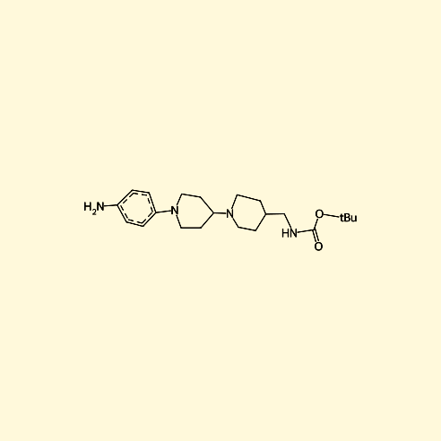 CC(C)(C)OC(=O)NCC1CCN(C2CCN(c3ccc(N)cc3)CC2)CC1